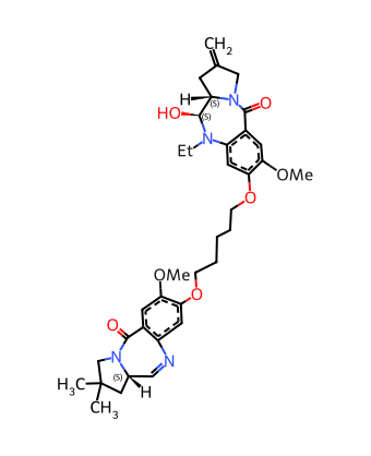 C=C1C[C@H]2[C@H](O)N(CC)c3cc(OCCCCCOc4cc5c(cc4OC)C(=O)N4CC(C)(C)C[C@H]4C=N5)c(OC)cc3C(=O)N2C1